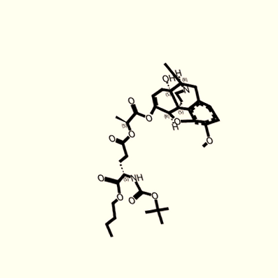 CCCCOC(=O)[C@H](CCC(=O)O[C@@H](C)C(=O)OC1=CC[C@@]2(O)[C@H]3Cc4ccc(OC)c5c4[C@@]2(CCN3C)[C@H]1O5)NC(=O)OC(C)(C)C